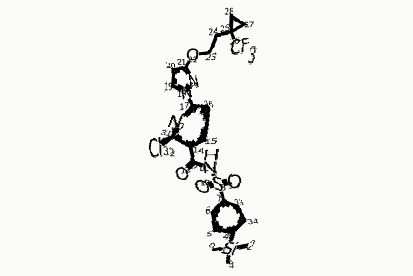 C[Si](C)(C)c1ccc(S(=O)(=O)NC(=O)c2ccc(-n3ccc(OCCC4(C(F)(F)F)CC4)n3)nc2Cl)cc1